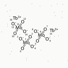 [O]=[Mo](=[O])([O-])[O-].[O]=[Mo](=[O])([O-])[O-].[O]=[Mo](=[O])([O-])[O-].[Tb+3].[Tb+3]